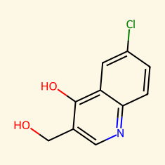 OCc1cnc2ccc(Cl)cc2c1O